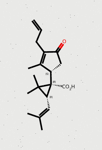 C=CCC1=C(C)[C@@H]([C@@]2(C(=O)O)[C@H](C=C(C)C)C2(C)C)CC1=O